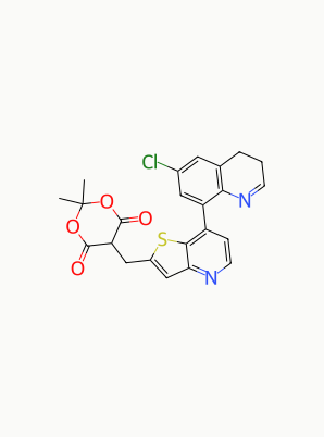 CC1(C)OC(=O)C(Cc2cc3nccc(-c4cc(Cl)cc5c4N=CCC5)c3s2)C(=O)O1